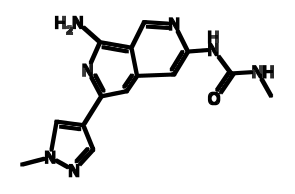 CNC(=O)Nc1cc2cc(-c3cnn(C)c3)nc(N)c2cn1